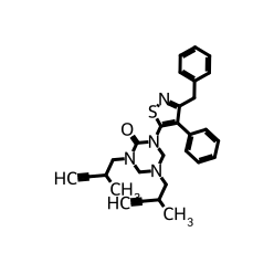 C#CC(C)CN1CN(CC(C)C#C)C(=O)N(c2snc(Cc3ccccc3)c2-c2ccccc2)C1